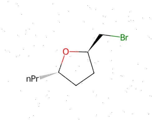 CCC[C@H]1CC[C@H](CBr)O1